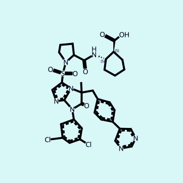 CC1(Cc2ccc(-c3cncnc3)cc2)C(=O)N(c2cc(Cl)cc(Cl)c2)c2ncc(S(=O)(=O)N3CCCC3C(=O)N[C@H]3CCCC[C@@H]3C(=O)O)n21